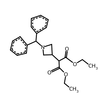 CCOC(=O)C(C(=O)OCC)C1CN(C(c2ccccc2)c2ccccc2)C1